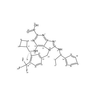 CCC(Nc1nc2nc(C(=O)O)nc(N[C@H](C)C3CCC3)c2n1Cc1ccc(C(F)(F)F)cc1)c1ccccc1